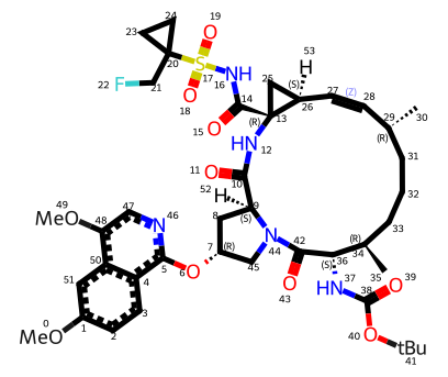 COc1ccc2c(O[C@@H]3C[C@H]4C(=O)N[C@]5(C(=O)NS(=O)(=O)C6(CF)CC6)C[C@H]5/C=C\[C@H](C)CCC[C@@H](C)[C@H](NC(=O)OC(C)(C)C)C(=O)N4C3)ncc(OC)c2c1